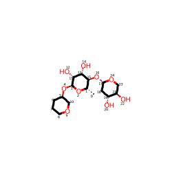 C[C@@H]1O[C@@H](O[C@@H]2CCCOC2)[C@H](O)[C@H](O)[C@H]1O[C@H]1C[C@@H](O)[C@H](O)CO1